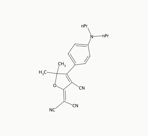 CCCN(CCC)c1ccc(C2=C(C#N)C(=C(C#N)C#N)OC2(C)C)cc1